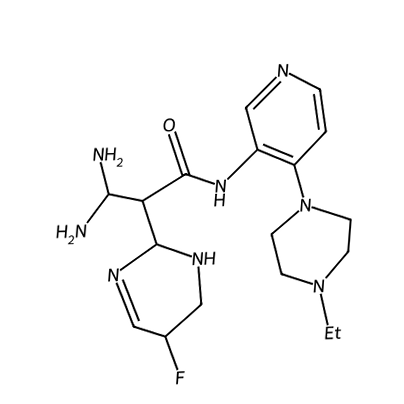 CCN1CCN(c2ccncc2NC(=O)C(C(N)N)C2N=CC(F)CN2)CC1